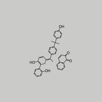 CC(=C1C=CC(O)=C(c2ccccc2O)C1)c1ccc(C(C)(C)c2ccc(O)cc2)cc1.O=C1C=Cc2ccccc2C1=O